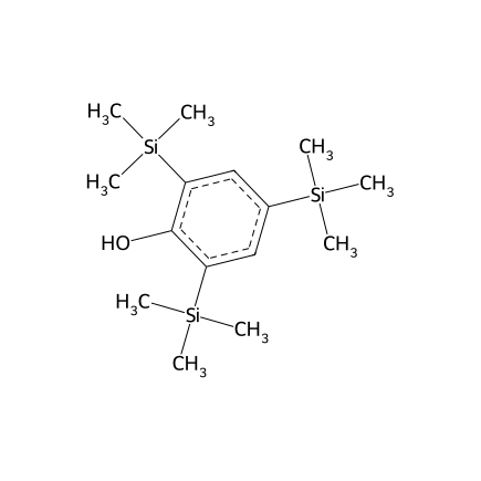 C[Si](C)(C)c1cc([Si](C)(C)C)c(O)c([Si](C)(C)C)c1